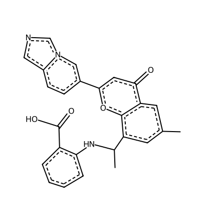 Cc1cc(C(C)Nc2ccccc2C(=O)O)c2oc(-c3ccc4cncn4c3)cc(=O)c2c1